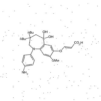 CCCCC1(CCCC)CN(c2ccc(N)cc2)c2cc(SC)c(OC=CC(=O)O)cc2S(O)(O)C1